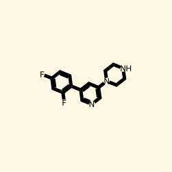 Fc1ccc(-c2cncc(N3CCNCC3)c2)c(F)c1